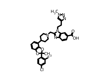 Cn1cc(CCn2c(CN3CCC(c4cccc5c4OC(C)(c4ccc(Cl)cc4F)O5)CC3)nc3ccc(C(=O)O)cc32)nn1